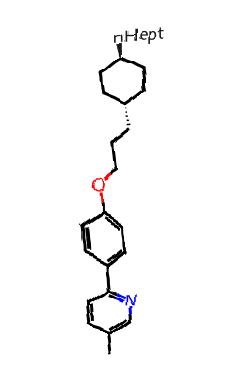 CCCCCCC[C@H]1CC[C@H](CCCOc2ccc(-c3ccc(C)cn3)cc2)CC1